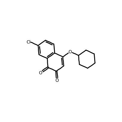 O=C1C=C(OC2CCCCC2)c2ccc(Cl)cc2C1=O